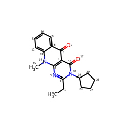 CCc1nc2c(c(=O)c3ccccc3n2C)c(=O)n1C1CCCC1